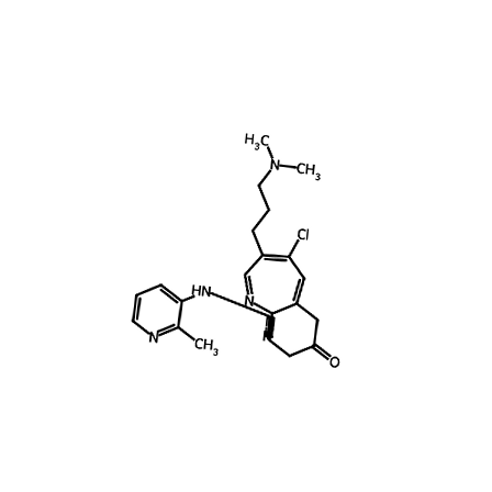 Cc1ncccc1NC1=NC=C2CC(=O)CC3=CC(Cl)=C(CCCN(C)C)C=NC23N1